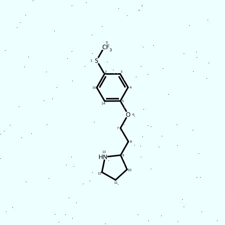 FC(F)(F)Sc1ccc(OCCC2CCCN2)cc1